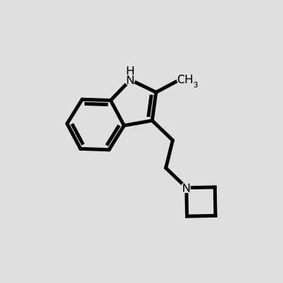 Cc1[nH]c2ccccc2c1CCN1CCC1